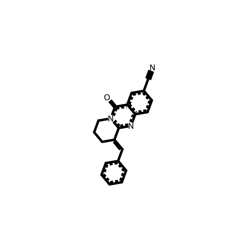 N#Cc1ccc2nc3n(c(=O)c2c1)CCC/C3=C\c1ccccc1